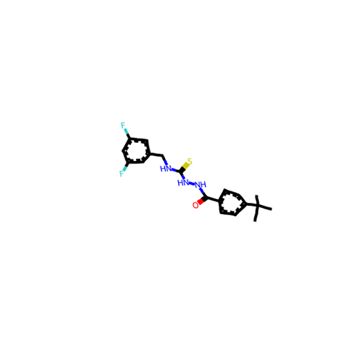 CC(C)(C)c1ccc(C(=O)NNC(=S)NCc2cc(F)cc(F)c2)cc1